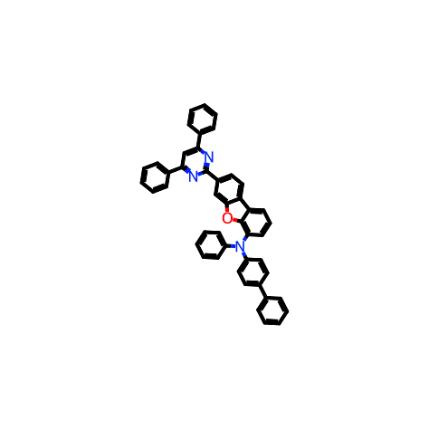 c1ccc(-c2ccc(N(c3ccccc3)c3cccc4c3oc3cc(-c5nc(-c6ccccc6)cc(-c6ccccc6)n5)ccc34)cc2)cc1